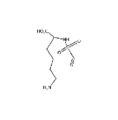 C=CS(=O)(=O)NC(CCCCN)C(=O)O